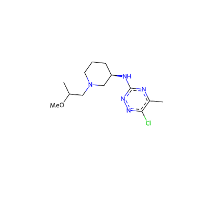 COC(C)CN1CCC[C@@H](Nc2nnc(Cl)c(C)n2)C1